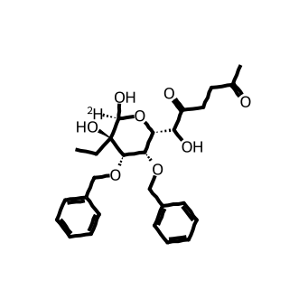 [2H][C@]1(O)O[C@H](C(O)C(=O)CCC(C)=O)[C@H](OCc2ccccc2)[C@H](OCc2ccccc2)[C@]1(O)CC